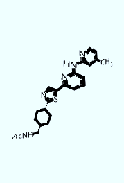 CC(=O)NC[C@H]1CC[C@H](c2ncc(-c3cccc(Nc4cc(C)ccn4)n3)s2)CC1